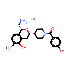 Cc1ccc2c(c1O)C[C@@H](C1CCN(C(=O)c3ccc(Br)cc3)CC1)O[C@H]2CN.Cl